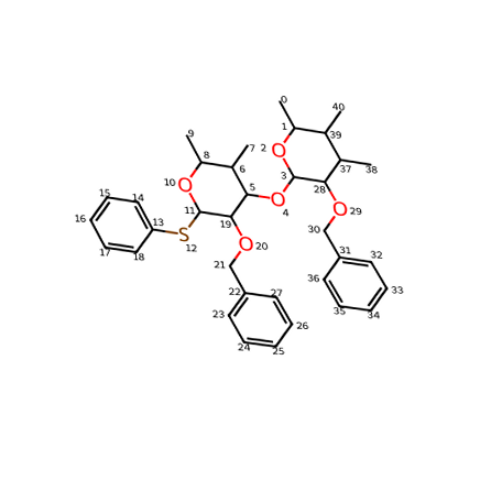 CC1OC(OC2C(C)C(C)OC(Sc3ccccc3)C2OCc2ccccc2)C(OCc2ccccc2)C(C)C1C